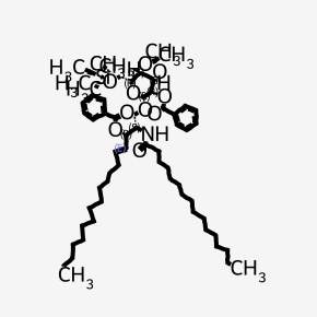 CCCCCCCCCCCCC/C=C/[C@@H](OC(=O)c1ccccc1)[C@H](CO[C@@H]1O[C@H](CO[Si](C)(C)C(C)(C)C)[C@@H]2OC(C)(C)O[C@@H]2[C@H]1OC(=O)c1ccccc1)NC(=O)CCCCCCCCCCCCCCC